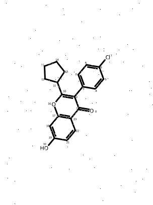 O=c1c(-c2ccc(Cl)cc2)c(C2CCCC2)oc2cc(O)ccc12